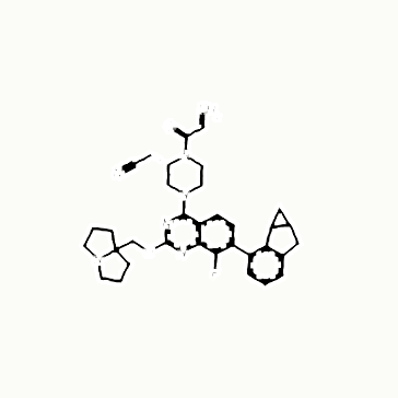 C=CC(=O)N1CCN(c2nc(OCC34CCCN3CCC4)nc3c(F)c(-c4cccc5c4C4CC4C5)ccc23)C[C@@H]1CC#N